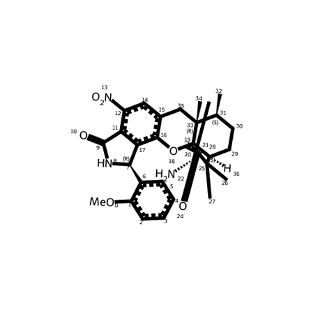 COc1ccccc1[C@H]1NC(=O)c2c([N+](=O)[O-])cc3c(c21)O[C@@]12C[C@@H](N)C(=O)C(C)(C)[C@@H]1CC[C@H](C)[C@@]2(C)C3